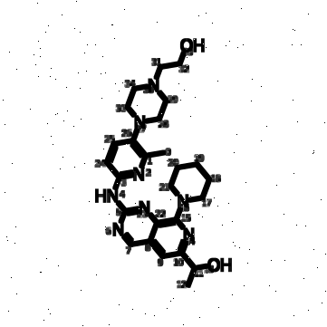 Cc1nc(Nc2ncc3cc(C(C)O)nc(N4CCCCC4)c3n2)ccc1N1CCN(CCO)CC1